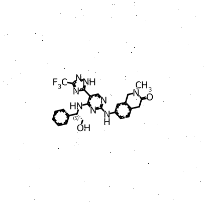 CN1Cc2cc(Nc3ncc(-c4nc(C(F)(F)F)n[nH]4)c(N[C@H](CO)c4ccccc4)n3)ccc2CC1=O